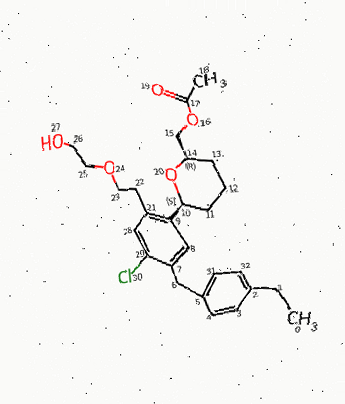 CCc1ccc(Cc2cc([C@@H]3[CH][CH][CH][C@H](COC(C)=O)O3)c(CCOCCO)cc2Cl)cc1